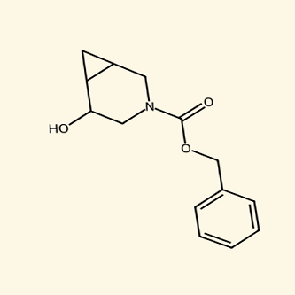 O=C(OCc1ccccc1)N1CC(O)C2CC2C1